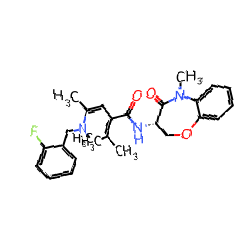 CC(C)=C(/C=C(/C)N(C)Cc1ccccc1F)C(=O)N[C@H]1COc2ccccc2N(C)C1=O